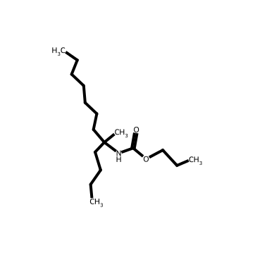 CCCCCCCC(C)(CCCC)NC(=O)OCCC